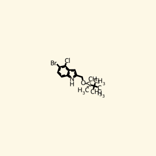 CC(C)(C)[Si](C)(C)OCc1cc2c(Cl)c(Br)ccc2[nH]1